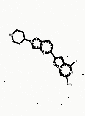 Cc1cn2nc(-c3ccc4nn(C5CCNCC5)cc4n3)cc2c(C)n1